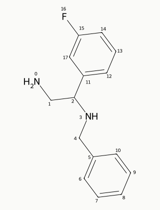 NCC(NCc1ccccc1)c1cccc(F)c1